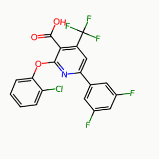 O=C(O)c1c(C(F)(F)F)cc(-c2cc(F)cc(F)c2)nc1Oc1ccccc1Cl